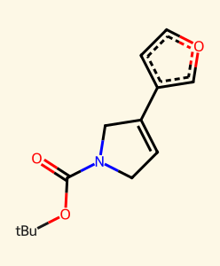 CC(C)(C)OC(=O)N1CC=C(c2ccoc2)C1